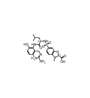 Cc1ccc(O)c(NC(=O)[C@@H](CC(C)C)NS(=O)(=O)c2ccc3c(c2)O[C@@H](C(=O)O)N3C)c1CN=C(N)N